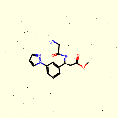 COC(=O)C[C@H](NC(=O)CN)c1cccc(-n2cccn2)c1